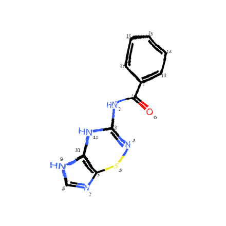 O=C(NC1=NSc2nc[nH]c2N1)c1ccccc1